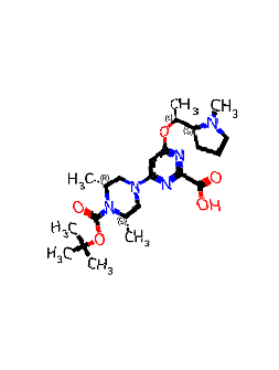 C[C@H](Oc1cc(N2C[C@@H](C)N(C(=O)OC(C)(C)C)[C@@H](C)C2)nc(C(=O)O)n1)[C@@H]1CCCN1C